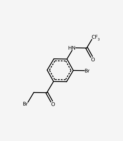 O=C(CBr)c1ccc(NC(=O)C(F)(F)F)c(Br)c1